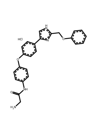 Cl.NCC(=O)Nc1ccc(Oc2ccc(-c3c[nH]c(COc4ccccc4)n3)cc2)cc1